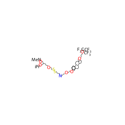 CNOCC(CCCOCCSSCCCN(C)CCCOCCOc1ccc2c(c1)CCC1C2CCC2(C)C(OCCCOC(C(F)(F)F)(C(F)(F)F)C(F)(F)F)CCC12)COC(C)C